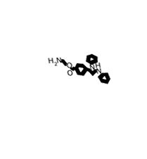 NCCOC(=O)c1ccc(C2CC(Nc3ccccc3)N2c2ccccc2)cc1